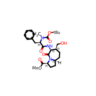 COC(=O)[C@@H]1CC[C@@H]2CC[C@H](CO)[C@H](NC(=O)[C@@H](Cc3ccccc3)N(C)C(=O)OC(C)(C)C)C(=O)N21